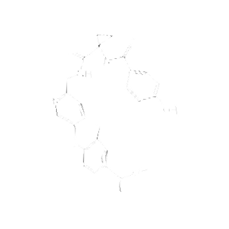 CC(O)c1ccc(Oc2ccc(CNC(=O)C3(NC(=O)c4ccc(O)cc4)CC3)nc2)c(C(F)(F)F)c1